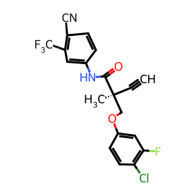 C#C[C@@](C)(COc1ccc(Cl)c(F)c1)C(=O)Nc1ccc(C#N)c(C(F)(F)F)c1